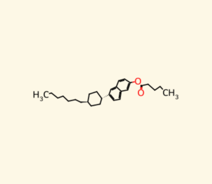 CCCCCCC[C@H]1CC[C@H](c2ccc3cc(OC(=O)CCCC)ccc3c2)CC1